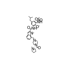 COc1c(NC(=O)c2cc3cccc(CN4CCN(C(=O)[C@@H]5CCCN5C)CC4)c3n2C)cc(CC(C)C)cc1NS(C)(=O)=O